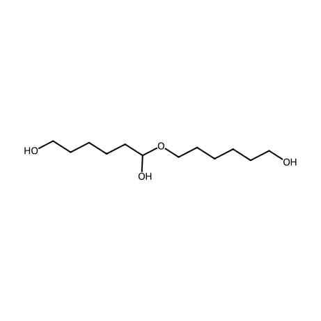 OCCCCCCOC(O)CCCCCO